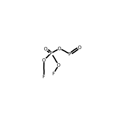 O=POP(=O)(OF)OF